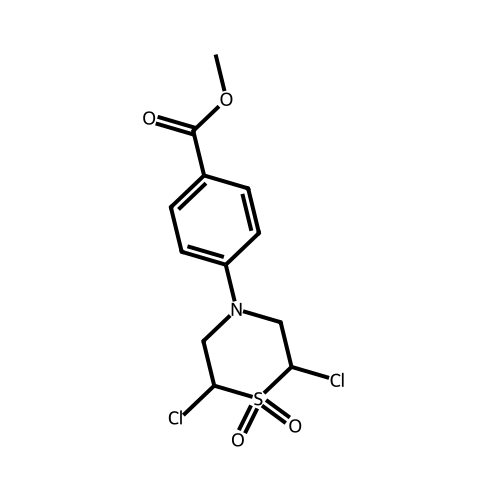 COC(=O)c1ccc(N2CC(Cl)S(=O)(=O)C(Cl)C2)cc1